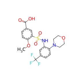 COc1ccc(C(=O)O)cc1S(=O)(=O)Nc1cc(C(F)(F)F)ccc1N1CCOCC1